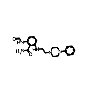 NC(=O)c1c(NC=O)cccc1NCCN1CCN(c2ccccc2)CC1